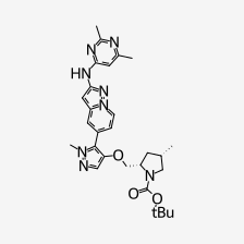 Cc1cc(Nc2cc3cc(-c4c(OC[C@@H]5C[C@H](C)CN5C(=O)OC(C)(C)C)cnn4C)ccn3n2)nc(C)n1